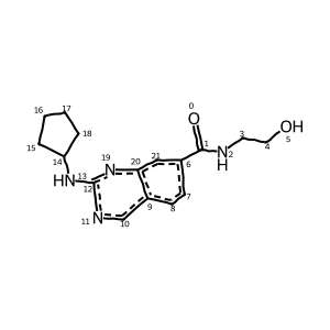 O=C(NCCO)c1ccc2cnc(NC3CCCC3)nc2c1